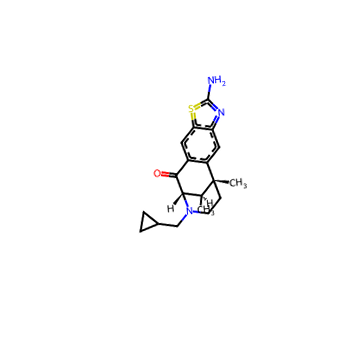 C[C@H]1[C@H]2C(=O)c3cc4sc(N)nc4cc3[C@]1(C)CCN2CC1CC1